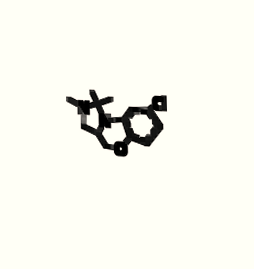 CN1CC2COc3ccc(Cl)cc3N2C1(C)C